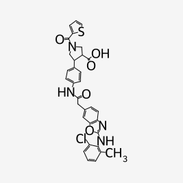 Cc1cccc(Cl)c1Nc1nc2ccc(CC(=O)Nc3ccc(C4CN(C(=O)c5cccs5)CC4C(=O)O)cc3)cc2o1